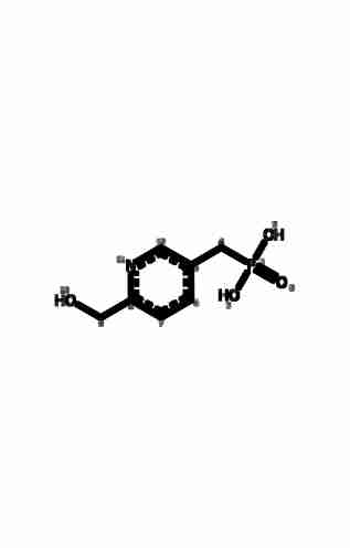 O=P(O)(O)Cc1ccc(CO)nc1